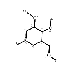 COCC1CN(C)CC(OI)C1OC